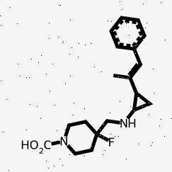 C/C(=C\c1ccccc1)C1CC1NCC1(F)CCN(C(=O)O)CC1